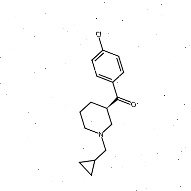 O=C(c1ccc(Cl)cc1)[C@@H]1CCCN(CC2CC2)C1